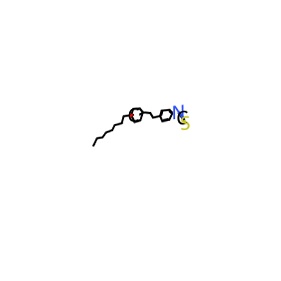 CCCCCCCCC12CCC(CCc3ccc(N=C=S)cc3)(CC1)CC2